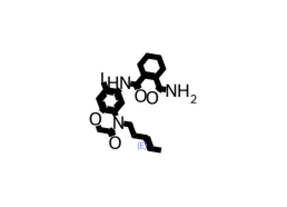 C/C=C/CCN1C(=O)COc2cc(I)c(NC(=O)C3=C(C(N)=O)CCCC3)cc21